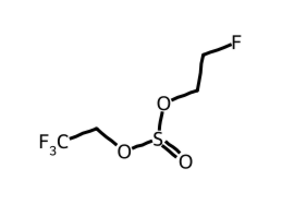 O=S(OCCF)OCC(F)(F)F